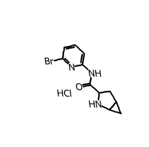 Cl.O=C(Nc1cccc(Br)n1)C1CC2CC2N1